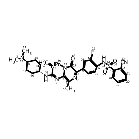 C=N/C(=N\c1c(C)nc(-c2ccc(NS(=O)(=O)c3ccccc3C#N)c(F)c2)c(=O)n1C(C)C)N[C@H]1CC[C@H](N(C)C)CC1